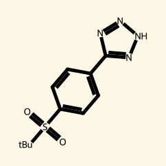 CC(C)(C)S(=O)(=O)c1ccc(-c2nn[nH]n2)cc1